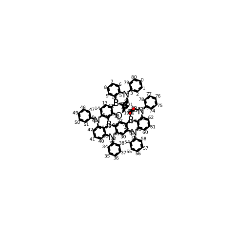 c1ccc(N2c3ccccc3B3c4ccc5c(c4Oc4cccc2c43)B2c3cc4c(cc3N(c3ccccc3)c3cccc(c32)N5c2ccccc2)N(c2ccccc2)c2cccc3c2B4c2ccccc2N3c2ccccc2)cc1